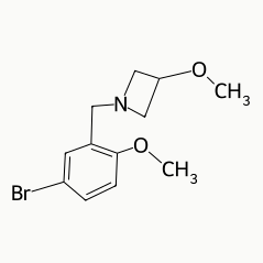 COc1ccc(Br)cc1CN1CC(OC)C1